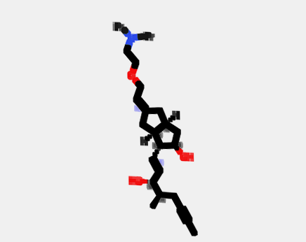 CC#CC[C@@H](C)[C@H](O)/C=C/[C@@H]1[C@H]2C/C(=C/COCCN(C(C)C)C(C)C)C[C@H]2C[C@H]1O